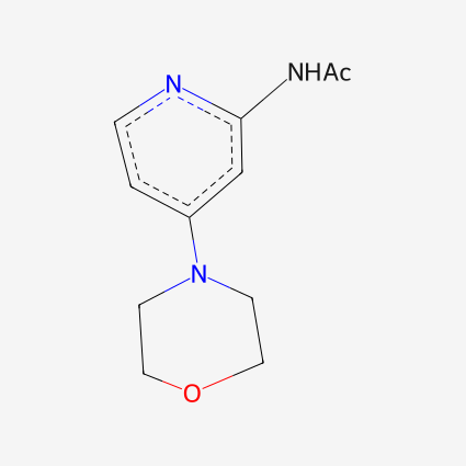 CC(=O)Nc1cc(N2CCOCC2)ccn1